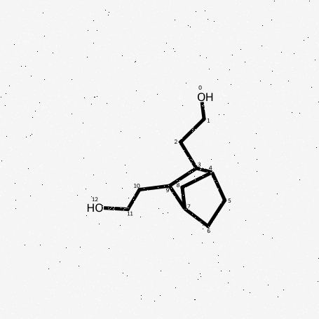 OCCC1C2CCC(C2)C1CCO